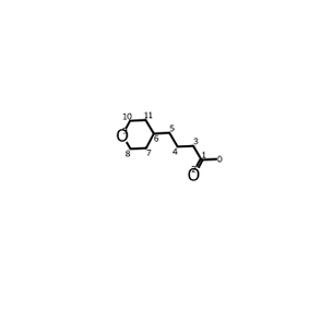 CC(=O)CCCC1CCOCC1